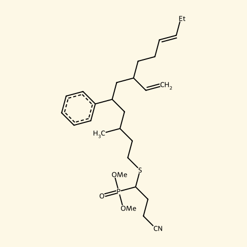 C=CC(CC/C=C/CC)CC(CC(C)CCSC(CCC#N)P(=O)(OC)OC)c1ccccc1